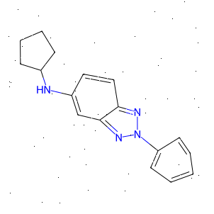 c1ccc(-n2nc3ccc(NC4CCCC4)cc3n2)cc1